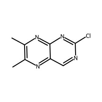 Cc1nc2cnc(Cl)nc2nc1C